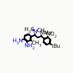 CNC(CC(c1ccc(N)c(N)c1C)N(C)C)c1ccc(C(C)(C)C)cc1[N+](=O)[O-]